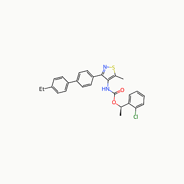 CCc1ccc(-c2ccc(-c3nsc(C)c3NC(=O)O[C@H](C)c3ccccc3Cl)cc2)cc1